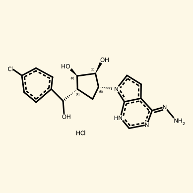 Cl.NN=c1nc[nH]c2c1ccn2[C@@H]1C[C@H](C(O)c2ccc(Cl)cc2)[C@@H](O)[C@H]1O